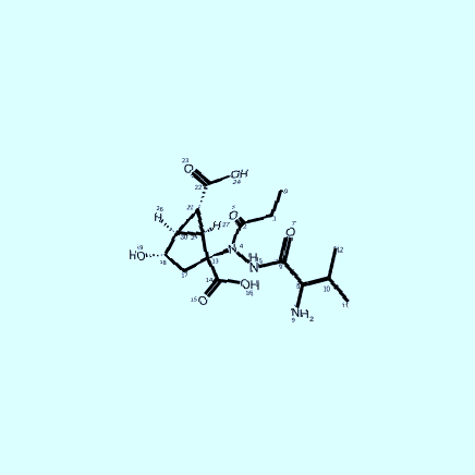 CCC(=O)N(NC(=O)C(N)C(C)C)[C@@]1(C(=O)O)C[C@H](O)[C@H]2[C@H](C(=O)O)[C@H]21